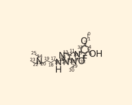 CCOc1cc(O)c(F)c(N2Cc3cnc(NCCCCN(CC)CC)nc3N(CC)C2=O)c1